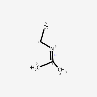 [CH2]/C(C)=N\CCC